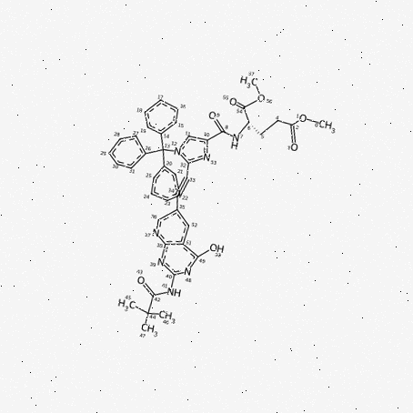 COC(=O)CC[C@H](NC(=O)c1cn(C(c2ccccc2)(c2ccccc2)c2ccccc2)c(C#Cc2cnc3nc(NC(=O)C(C)(C)C)nc(O)c3c2)n1)C(=O)OC